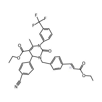 CCOC(=O)/C=C/c1ccc(CN2C(=O)N(c3cccc(C(F)(F)F)c3)C(C)=C(C(=O)OCC)C2c2ccc(C#N)cc2)cc1